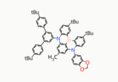 Cc1cc2c3c(c1)N(c1ccc4c(c1)OCO4)c1ccc(C(C)(C)C)cc1B3c1cc(C(C)(C)C)ccc1N2c1cc(-c2ccc(C(C)(C)C)cc2)cc(-c2ccc(C(C)(C)C)cc2)c1